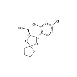 OC[C@@H]1OC2(CCCC2)O[C@H]1c1ccc(Cl)cc1Cl